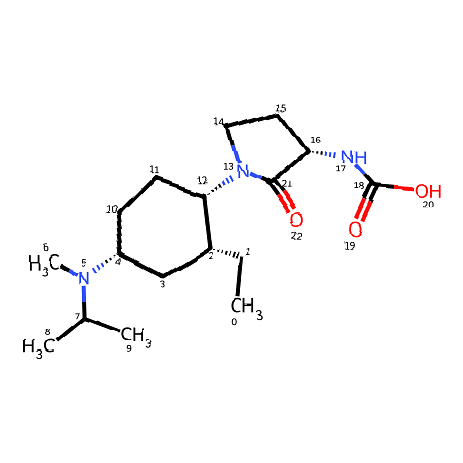 CC[C@@H]1C[C@H](N(C)C(C)C)CC[C@@H]1N1CC[C@H](NC(=O)O)C1=O